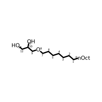 CCCCCCCCCCCCCCCOCC(O)CO